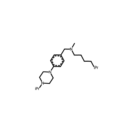 CC(C)CCCCN(C)Cc1ccc(N2CCN(C(C)C)CC2)cc1